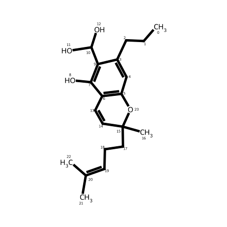 CCCc1cc2c(c(O)c1C(O)O)C=CC(C)(CCC=C(C)C)O2